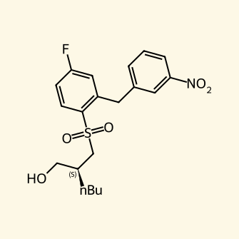 CCCC[C@@H](CO)CS(=O)(=O)c1ccc(F)cc1Cc1cccc([N+](=O)[O-])c1